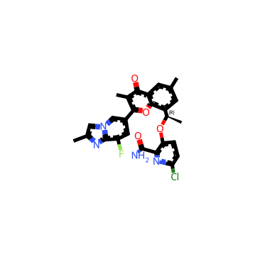 Cc1cc([C@@H](C)Oc2ccc(Cl)nc2C(N)=O)c2oc(-c3cc(F)c4nc(C)cn4c3)c(C)c(=O)c2c1